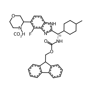 CC1CCC([C@H](NC(=O)OCC2c3ccccc3-c3ccccc32)c2nc3c(F)c(C4COCCN4C(=O)O)ccc3[nH]2)CC1